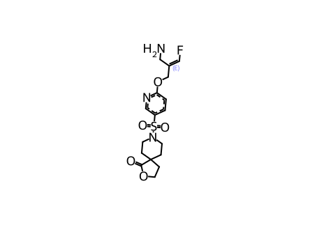 NC/C(=C\F)COc1ccc(S(=O)(=O)N2CCC3(CCOC3=O)CC2)cn1